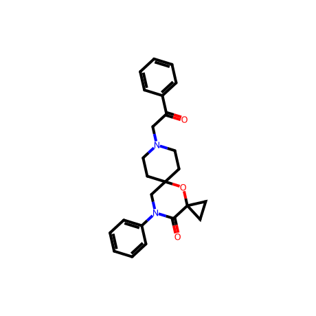 O=C(CN1CCC2(CC1)CN(c1ccccc1)C(=O)C1(CC1)O2)c1ccccc1